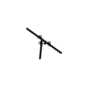 CCCCCCCCCCCCCCOC(=O)CCN(CCCN(CCC(=O)OCCCCCCCCCCCCCC)C(C)C)CCC(=O)OCCCCCCCCCCCCCC